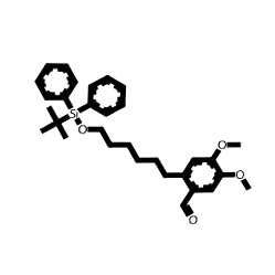 COc1cc(C=O)c(CCCCCCO[Si](c2ccccc2)(c2ccccc2)C(C)(C)C)cc1OC